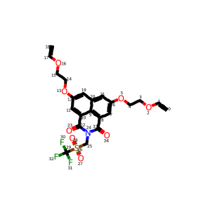 C=COCCOc1cc2c3c(cc(OCCOC=C)cc3c1)C(=O)N(CS(=O)(=O)C(F)(F)F)C2=O